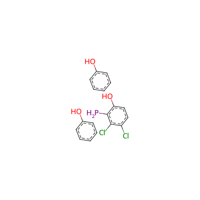 Oc1ccc(Cl)c(Cl)c1P.Oc1ccccc1.Oc1ccccc1